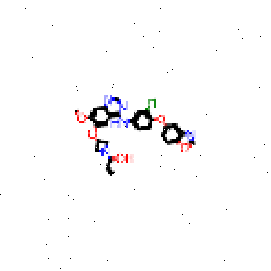 C=CC(O)N1CC(Oc2cc3c(Nc4ccc(Oc5ccc6ocnc6c5)c(Cl)c4)ncnc3cc2OC)C1